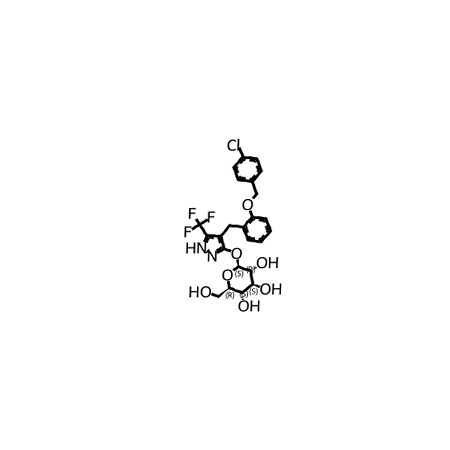 OC[C@H]1O[C@@H](Oc2n[nH]c(C(F)(F)F)c2Cc2ccccc2OCc2ccc(Cl)cc2)[C@H](O)[C@@H](O)[C@@H]1O